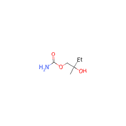 CCC(C)(O)COC(N)=O